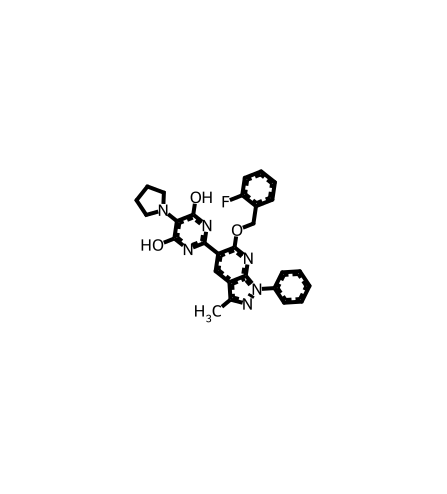 Cc1nn(-c2ccccc2)c2nc(OCc3ccccc3F)c(-c3nc(O)c(N4CCCC4)c(O)n3)cc12